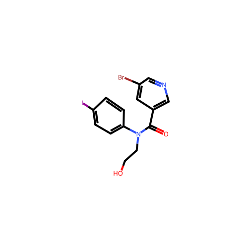 O=C(c1cncc(Br)c1)N(CCO)c1ccc(I)cc1